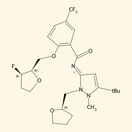 Cn1c(C(C)(C)C)c/c(=N\C(=O)c2cc(C(F)(F)F)ccc2OC[C@H]2OCC[C@H]2F)n1C[C@H]1CCCO1